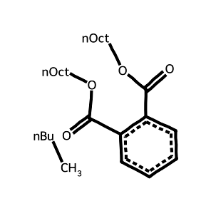 CCCCC.CCCCCCCCOC(=O)c1ccccc1C(=O)OCCCCCCCC